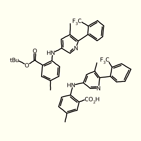 Cc1ccc(Nc2cnc(-c3ccccc3C(F)(F)F)c(C)c2)c(C(=O)O)c1.Cc1ccc(Nc2cnc(-c3ccccc3C(F)(F)F)c(C)c2)c(C(=O)OC(C)(C)C)c1